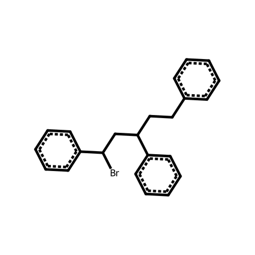 BrC(CC(CCc1ccccc1)c1ccccc1)c1ccccc1